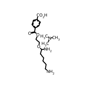 CN(C)C.NCCCCCC(N)OCCOC(=O)c1ccc(C(=O)O)cc1